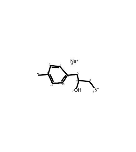 Cc1ccc(CC(O)C[S-])cc1.[Na+]